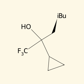 CC[C@H](C)CC(O)(C1CC1)C(F)(F)F